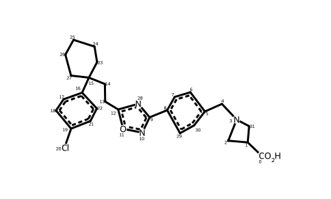 O=C(O)C1CN(Cc2ccc(-c3noc(CCC4(c5ccc(Cl)cc5)CCCCC4)n3)cc2)C1